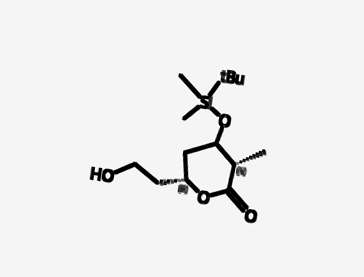 C[C@@H]1C(=O)O[C@H](CCO)CC1O[Si](C)(C)C(C)(C)C